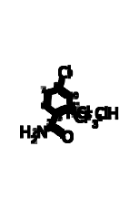 Cl.Cl.NC(=O)c1ccc(Cl)cc1C(F)(F)F